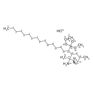 CCCCCCCCCCCCCCCC(C(CC(C)C)C(C)(C)N)[Si](OC)(OC)OC.Cl